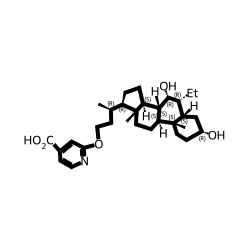 CC[C@H]1[C@@H](O)[C@@H]2[C@H](CC[C@]3(C)[C@@H]([C@H](C)CCOc4cc(C(=O)O)ccn4)CC[C@@H]23)[C@@]2(C)CC[C@@H](O)C[C@@H]12